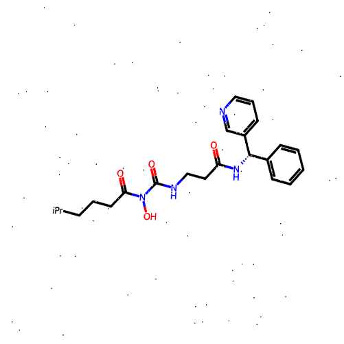 CC(C)CCCC(=O)N(O)C(=O)NCCC(=O)N[C@@H](c1ccccc1)c1cccnc1